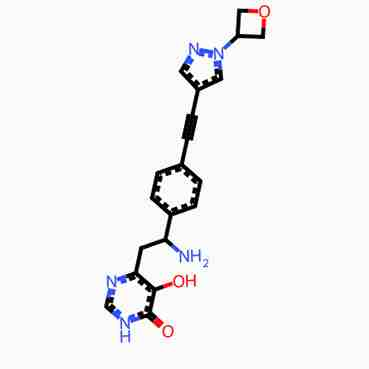 NC(Cc1nc[nH]c(=O)c1O)c1ccc(C#Cc2cnn(C3COC3)c2)cc1